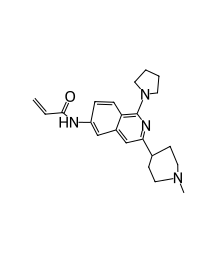 C=CC(=O)Nc1ccc2c(N3CCCC3)nc(C3CCN(C)CC3)cc2c1